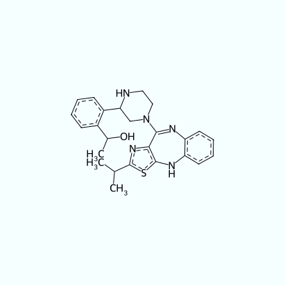 CC(C)c1nc2c(s1)Nc1ccccc1N=C2N1CCNC(c2ccccc2C(C)O)C1